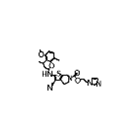 COc1ccc(C)cc1C(C)CC(=O)Nc1sc2c(c1C#N)CCN(C(=O)OCCn1ccnc1)C2